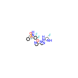 O=S(=O)(Cc1ccccc1)Nc1c(F)cc(Oc2ncccc2-c2ccnc(N[C@@H]3CNC[C@@H](CF)C3)n2)c(F)c1F